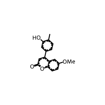 COc1ccc2oc(=O)cc(-c3ccc(C)c(O)c3)c2c1